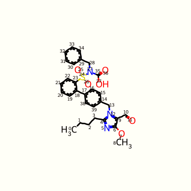 CCCCc1nc(OC)c(C=O)n1Cc1ccc(-c2ccccc2S(=O)(=O)N(Cc2ccccc2)C(=O)O)cc1